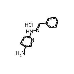 Cl.Nc1ccc(NN=Cc2ccccc2)nc1